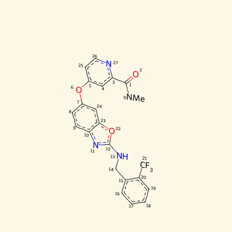 CNC(=O)c1cc(Oc2ccc3nc(NCc4ccccc4C(F)(F)F)oc3c2)ccn1